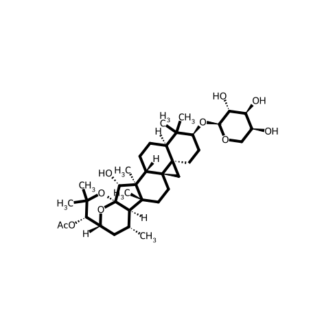 CC(=O)O[C@H]1[C@H]2C[C@@H](C)[C@H]3[C@](O2)(OC1(C)C)[C@H](O)[C@@]1(C)[C@@H]2CC[C@H]4C(C)(C)[C@@H](O[C@@H]5OC[C@H](O)[C@H](O)[C@H]5O)CC[C@@]45C[C@@]25CC[C@]31C